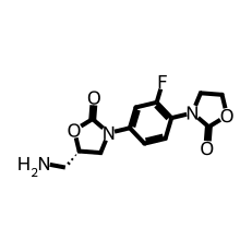 NC[C@H]1CN(c2ccc(N3CCOC3=O)c(F)c2)C(=O)O1